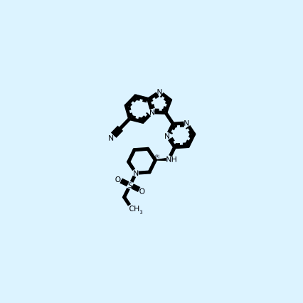 CCS(=O)(=O)N1CCC[C@@H](Nc2ccnc(-c3cnc4ccc(C#N)cn34)n2)C1